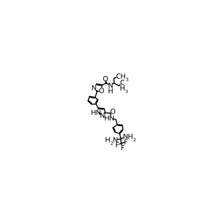 CCC(CC)NC(=O)c1cnc(-c2cccc(-c3cc(C(=O)NCc4ccc(C(N)(N)C(F)(F)F)cc4)n[nH]3)c2)o1